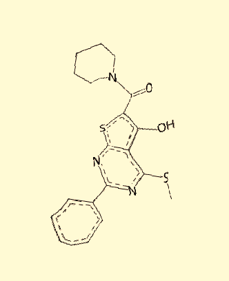 CSc1nc(-c2ccccc2)nc2sc(C(=O)N3CCCCC3)c(O)c12